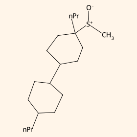 CCCC1CCC(C2CCC(CCC)([S+](C)[O-])CC2)CC1